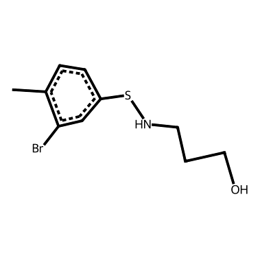 Cc1ccc(SNCCCO)cc1Br